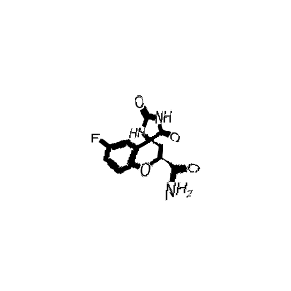 NC(=O)[C@@H]1C[C@]2(NC(=O)NC2=O)c2cc(F)ccc2O1